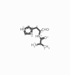 CC(N)C(=O)N[C@@H]([C]=O)Cc1c[nH]cn1